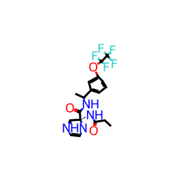 CCC(=O)N[C@@]1(C(=O)NC(C)c2cccc(OC(F)(F)C(F)(F)F)c2)C=NC=CN1